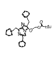 CC(C)(C)C(=O)OCOc1c(Cc2ccccc2)nc2c(Cc3ccccc3)nc(-c3ccccc3)cn12